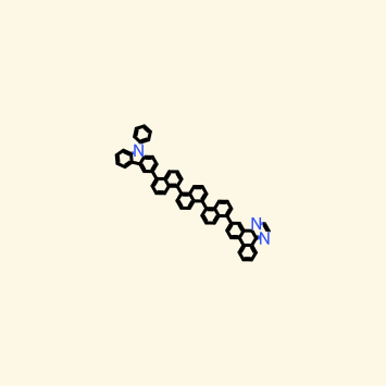 c1ccc(-n2c3ccccc3c3cc(-c4cccc5c(-c6cccc7c(-c8cccc9c(-c%10ccc%11c%12ccccc%12c%12nccnc%12c%11c%10)cccc89)cccc67)cccc45)ccc32)cc1